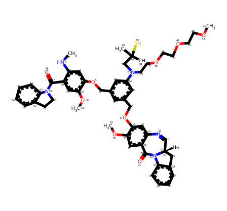 CNc1cc(OCc2cc(COc3cc4c(cc3OC)C(=O)N3c5ccccc5C[C@H]3C=N4)cc(N(CCOCCOCCOC)CC(C)(C)S)c2)c(OC)cc1C(=O)N1CCc2ccccc21